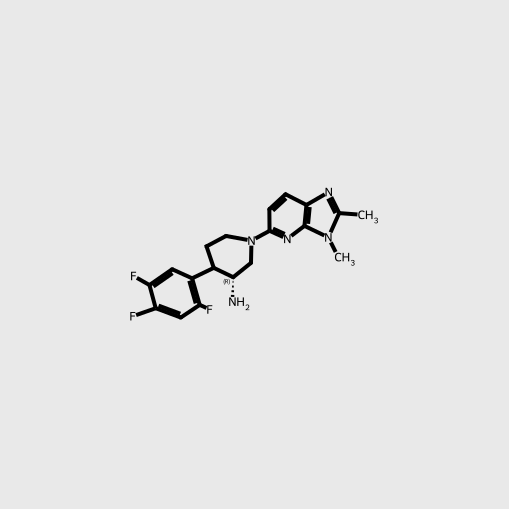 Cc1nc2ccc(N3CCC(c4cc(F)c(F)cc4F)[C@@H](N)C3)nc2n1C